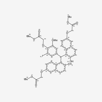 COc1cc(C(c2c(C)ccc3cc(OCC(=O)OC(C)(C)C)ccc23)c2c(O)ccc3cc(OCC(=O)OC(C)(C)C)ccc23)cc(I)c1OCC(=O)OC(C)(C)C